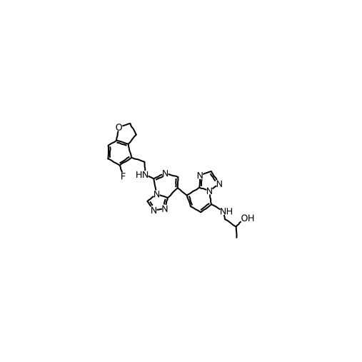 CC(O)CNc1ccc(-c2cnc(NCc3c(F)ccc4c3CCO4)n3cnnc23)c2ncnn12